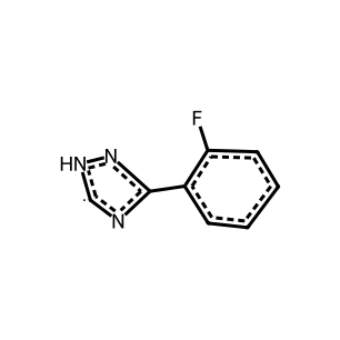 Fc1ccccc1-c1n[c][nH]n1